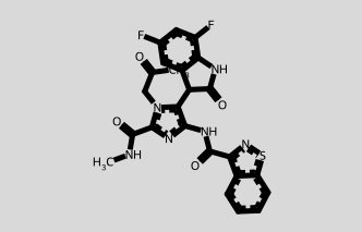 CNC(=O)c1nc(NC(=O)c2nsc3ccccc23)c(C2C(=O)Nc3c(F)cc(F)cc32)n1CC(C)=O